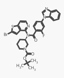 CC(C)(C)OC(=O)N1CCC[C@@H](N(C(=O)c2ccc(-n3cnc4ccccc43)cc2F)c2nccc3sc(Br)cc23)C1